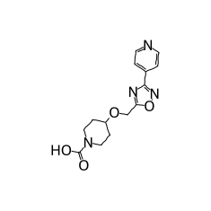 O=C(O)N1CCC(OCc2nc(-c3ccncc3)no2)CC1